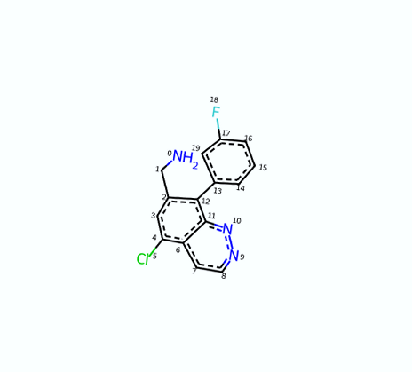 NCc1cc(Cl)c2ccnnc2c1-c1cccc(F)c1